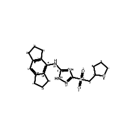 O=S(=O)(CC1CCCO1)c1n[nH]c(Nc2c3c(cc4c2CCC4)CCC3)n1